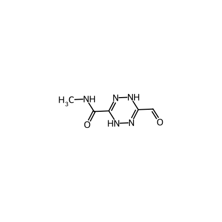 CNC(=O)C1=NNC(C=O)=NN1